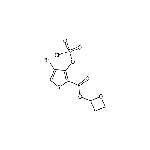 O=C(OC1CCO1)c1scc(Br)c1OS(=O)(=O)Cl